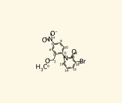 COCc1cc([N+](=O)[O-])ccc1-n1cccc(Br)c1=O